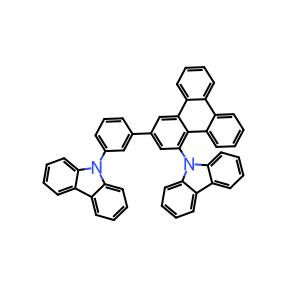 c1cc(-c2cc(-n3c4ccccc4c4ccccc43)c3c4ccccc4c4ccccc4c3c2)cc(-n2c3ccccc3c3ccccc32)c1